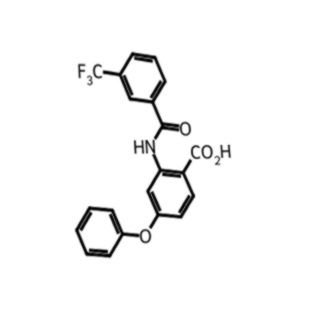 O=C(Nc1cc(Oc2ccccc2)ccc1C(=O)O)c1cccc(C(F)(F)F)c1